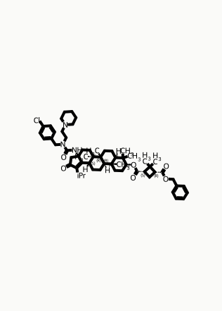 CC(C)C1=C2[C@H]3CC[C@@H]4[C@@]5(C)CC[C@H](OC(=O)[C@H]6C[C@@H](C(=O)OCc7ccccc7)C6(C)C)C(C)(C)[C@@H]5CC[C@@]4(C)[C@]3(C)CC[C@@]2(NC(=O)N(CCN2CCCCC2)Cc2ccc(Cl)cc2)CC1=O